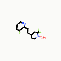 ON1C=CC(CCc2ncc[c]c2F)=CC1(F)F